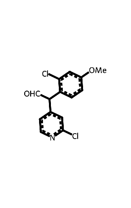 COc1ccc(C(C=O)c2ccnc(Cl)c2)c(Cl)c1